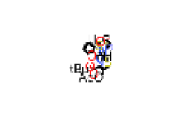 C/C=C\N([C@@H]1C(=O)N2C(C(=O)OC(C)(C)C)=C(COC(C)=O)CS[C@H]12)[S+]([O-])c1ccccc1